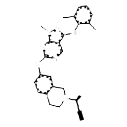 C#CC(=O)N1CCc2ccc(Nc3ncc4c(Nc5c(C)cccc5C)nn(C)c4n3)cc2C1